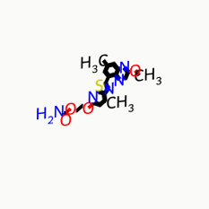 COc1cnc2c(-c3nc4c(C)cc(OCCOC(N)=O)nc4s3)cc(C)cc2n1